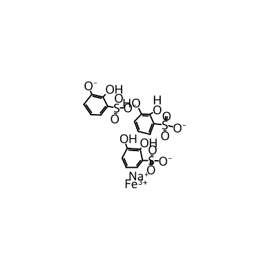 O=S(=O)([O-])c1cccc(O)c1O.O=S(=O)([O-])c1cccc(O)c1O.O=S(=O)([O-])c1cccc([O-])c1O.[Fe+3].[Na+]